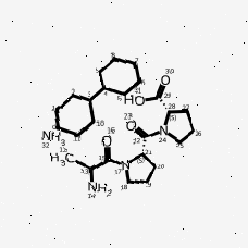 C1CCC(C2CCCCC2)CC1.CC(N)C(=O)N1CCC[C@H]1C(=O)N1CCC[C@H]1C(=O)O.N